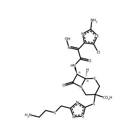 NCCSCc1nsc(SC2(C(=O)O)CS[C@@H]3[C@H](NC(=O)C(=NO)c4nc(N)sc4Cl)C(=O)N3C2)n1